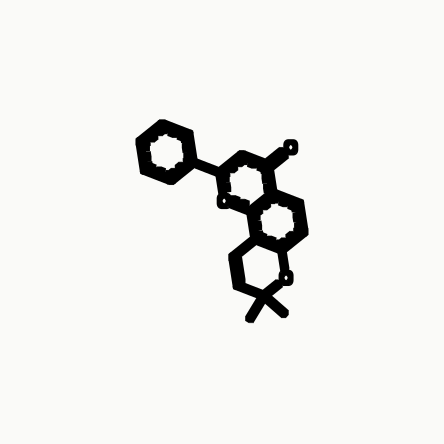 CC1(C)C=Cc2c(ccc3c(=O)cc(-c4ccccc4)oc23)O1